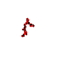 CC1(C)c2ccccc2-c2ccc(N(c3ccc(-c4cccc(-c5ccc6cc(-c7ccc(-c8ccc(N(c9ccc%10c(c9)C(C)(C)c9ccccc9-%10)c9ccccc9-c9ccccc9)cc8)cc7)c(-c7ccccc7)cc6c5)c4)cc3)c3ccc(-c4ccc(-c5ccccc5)c5ccccc45)cc3)cc21